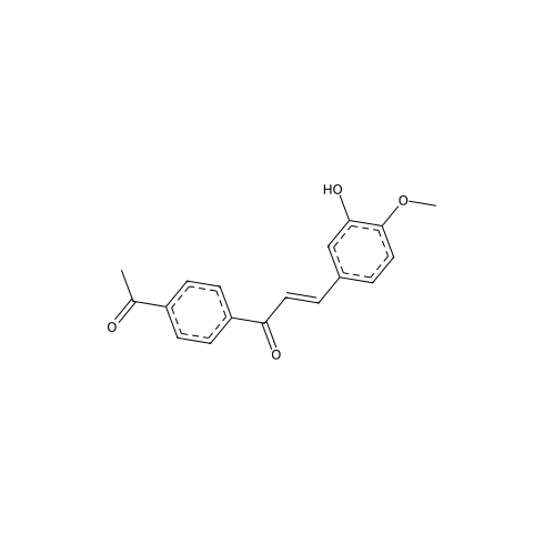 COc1ccc(C=CC(=O)c2ccc(C(C)=O)cc2)cc1O